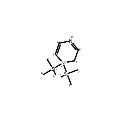 C[Si](C)(C)[N+]1([Si](C)(C)C)C=CN=CC1